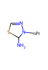 CCCN1N=CSC1N